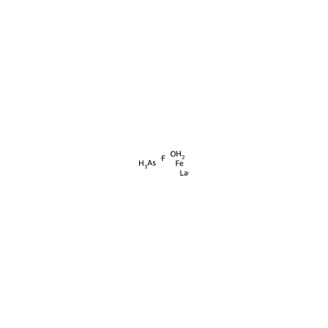 O.[AsH3].[F].[Fe].[La]